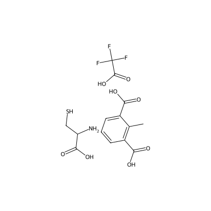 Cc1c(C(=O)O)cccc1C(=O)O.NC(CS)C(=O)O.O=C(O)C(F)(F)F